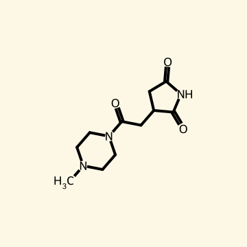 CN1CCN(C(=O)CC2CC(=O)NC2=O)CC1